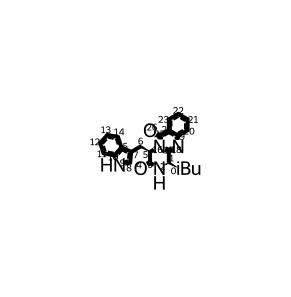 CC[C@H](C)[C@@H]1NC(=O)[C@@H](Cc2c[nH]c3ccccc23)n2c1nc1ccccc1c2=O